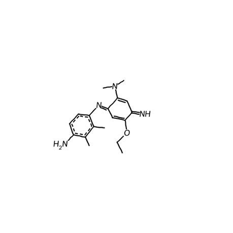 CCOC1=CC(=Nc2ccc(N)c(C)c2C)C(N(C)C)=CC1=N